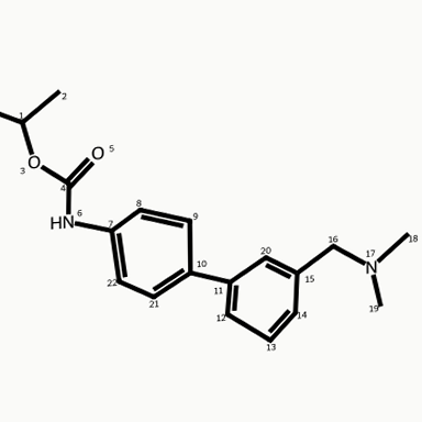 CC(C)OC(=O)Nc1ccc(-c2cccc(CN(C)C)c2)cc1